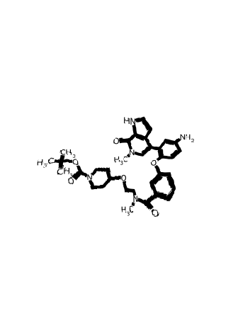 CN(CCOC1CCN(C(=O)OC(C)(C)C)CC1)C(=O)c1cccc(Oc2ccc(N)cc2-c2cn(C)c(=O)c3[nH]ccc23)c1